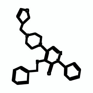 O=c1c(SCc2ccccc2)c(N2CCN(CC3C=COC3)CC2)cnn1-c1ccccc1